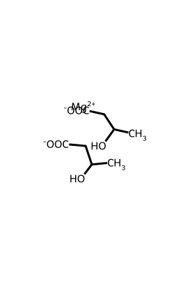 CC(O)CC(=O)[O-].CC(O)CC(=O)[O-].[Mg+2]